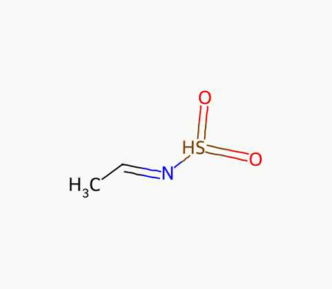 CC=N[SH](=O)=O